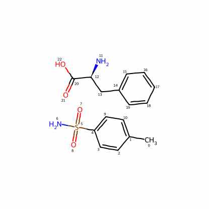 Cc1ccc(S(N)(=O)=O)cc1.N[C@@H](Cc1ccccc1)C(=O)O